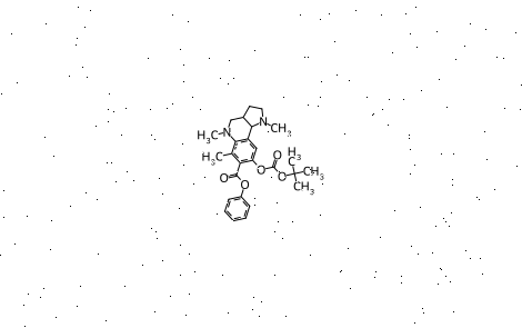 Cc1c(C(=O)Oc2ccccc2)c(OC(=O)OC(C)(C)C)cc2c1N(C)CC1CCN(C)C21